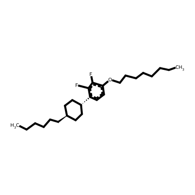 CCCCCCCCOc1ccc([C@H]2CC[C@H](CCCCCC)CC2)c(F)c1F